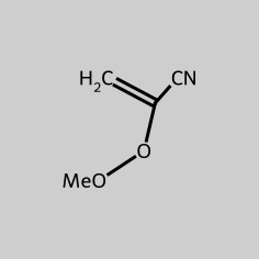 C=C(C#N)OOC